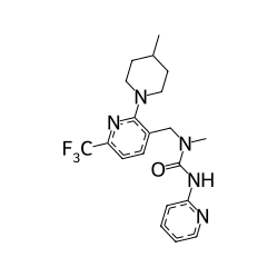 CC1CCN(c2nc(C(F)(F)F)ccc2CN(C)C(=O)Nc2ccccn2)CC1